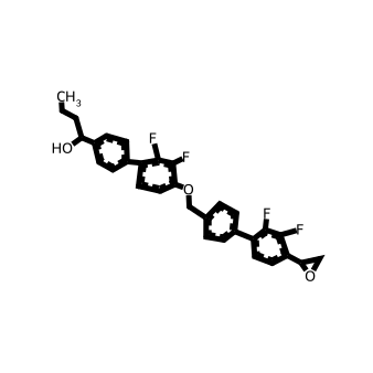 CCCC(O)c1ccc(-c2ccc(OCc3ccc(-c4ccc(C5CO5)c(F)c4F)cc3)c(F)c2F)cc1